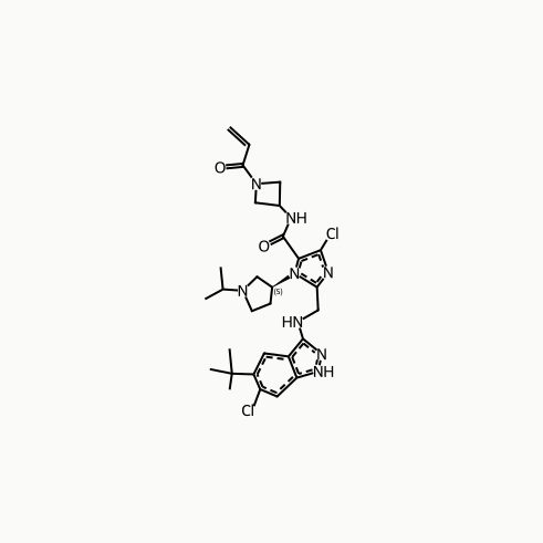 C=CC(=O)N1CC(NC(=O)c2c(Cl)nc(CNc3n[nH]c4cc(Cl)c(C(C)(C)C)cc34)n2[C@H]2CCN(C(C)C)C2)C1